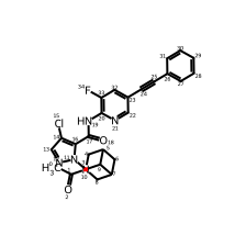 CC(=O)N1CC2CC(C1)C2Cn1ncc(Cl)c1C(=O)Nc1ncc(C#Cc2ccccc2)cc1F